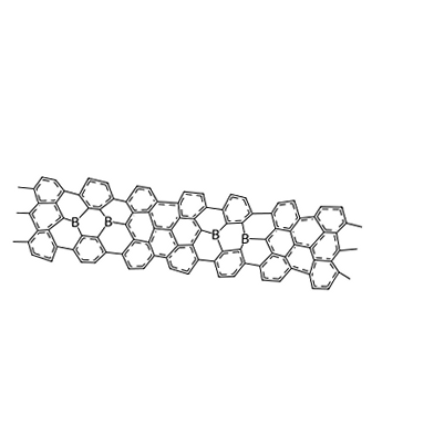 Cc1ccc2c3c4c5c(ccc(C)c5c(C)c13)-c1ccc3c5c1B4c1c-2ccc2c1B5c1c4c-2ccc2c5ccc6c7c8c9c(ccc%10c%11ccc-3c1c%11c(c42)c(c75)c9%10)-c1ccc2c3c1B8c1c-6ccc4c1B3c1c3c-4ccc4c5ccc(C)c6c(C)c7c(C)ccc8c9ccc-2c1c9c(c34)c(c65)c78